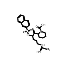 N=C(N)NCCCC(NS(=O)(=O)c1ccc2ccccc2c1)C(=O)C1CCCCN1C(=O)O